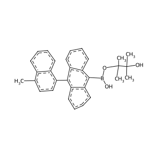 Cc1ccc(-c2c3ccccc3c(B(O)OC(C)(C)C(C)(C)O)c3ccccc23)c2ccccc12